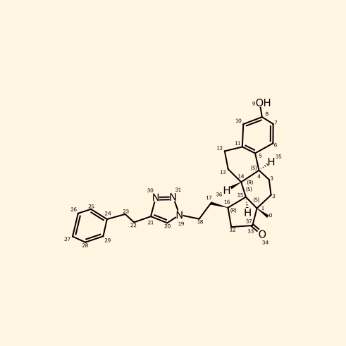 C[C@]12CC[C@@H]3c4ccc(O)cc4CC[C@H]3[C@@H]1[C@H](CCn1cc(CCc3ccccc3)nn1)CC2=O